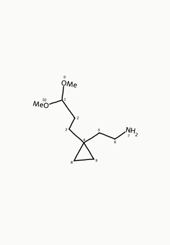 COC(CCC1(CCN)CC1)OC